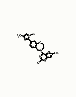 CC(C)n1cc(C(F)(F)F)nc1-c1ccc2c(c1)OCCN(c1nc(Cl)nc3cn(C)nc13)C2